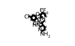 NC1=NC2NN=C(Cn3ccc(C(F)(F)F)c(Oc4cc(Cl)cc(Cl)c4)c3=O)C2C=C1